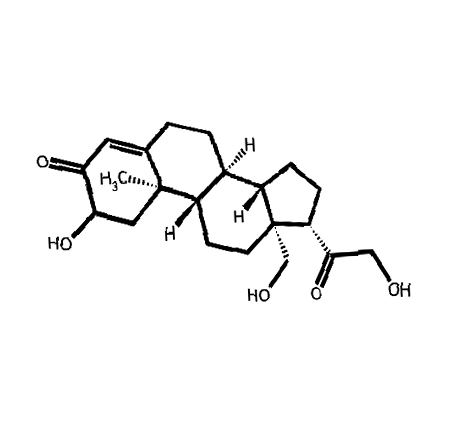 C[C@]12CC(O)C(=O)C=C1CC[C@H]1[C@@H]3CC[C@H](C(=O)CO)[C@@]3(CO)CC[C@@H]12